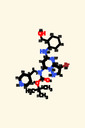 CC(C)(C)OC(=O)N(Cc1ccncc1)c1cc(NC2CCCC[C@@H]2CO)nc2c(Br)cnn12